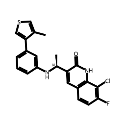 Cc1cscc1-c1cccc(N[C@@H](C)c2cc3ccc(F)c(Cl)c3[nH]c2=O)c1